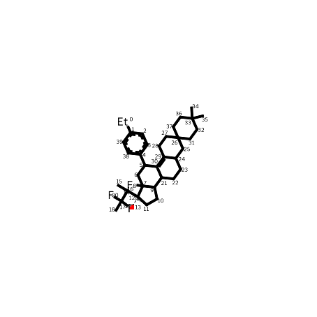 CCc1ccc(C2CC3(C)C(CC[C@@]3(C)C(C)(F)C(C)(F)F)C3CCC4CC5(CCC4=C23)CCC(C)(C)CC5)cc1